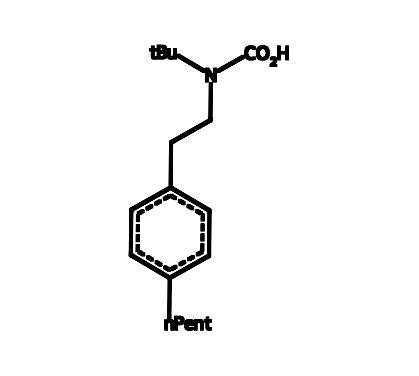 CCCCCc1ccc(CCN(C(=O)O)C(C)(C)C)cc1